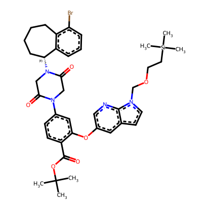 CC(C)(C)OC(=O)c1ccc(N2CC(=O)N([C@@H]3CCCCc4c(Br)cccc43)CC2=O)cc1Oc1cnc2c(ccn2COCC[Si](C)(C)C)c1